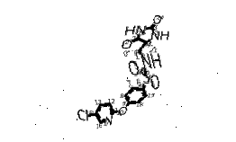 C[C@@H](NS(=O)(=O)c1ccc(Oc2ccc(Cl)cn2)cc1)[C@]1(C)NC(=O)NC1=O